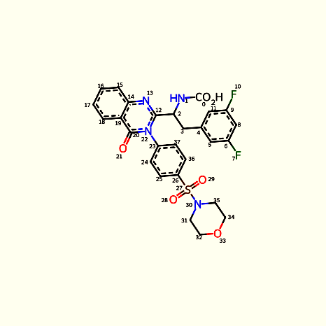 O=C(O)NC(Cc1cc(F)cc(F)c1)c1nc2ccccc2c(=O)n1-c1ccc(S(=O)(=O)N2CCOCC2)cc1